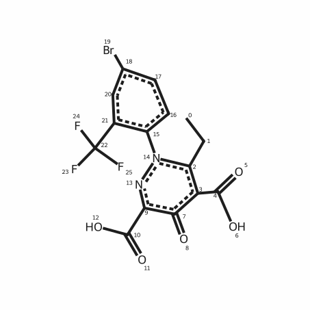 CCc1c(C(=O)O)c(=O)c(C(=O)O)nn1-c1ccc(Br)cc1C(F)(F)F